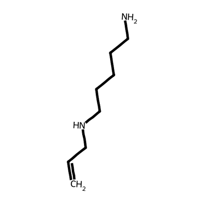 C=CCNCCCCCN